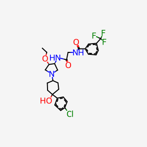 CCO[C@@H]1CN(C2CCC(O)(c3ccc(Cl)cc3)CC2)C[C@@H]1NC(=O)CNC(=O)c1cccc(C(F)(F)F)c1